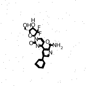 NC(=O)c1ncc(-c2ccccc2)cc1-c1ccn([C@@H]2O[C@H](CO)[C@@H](O)C2(F)F)c(=O)n1